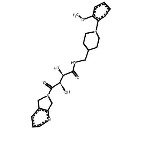 O=C(NCC1CCN(c2ccccc2OC(F)(F)F)CC1)[C@H](O)[C@@H](O)C(=O)N1Cc2cccnc2C1